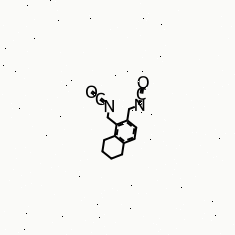 O=C=NCc1ccc2c(c1CN=C=O)CCCC2